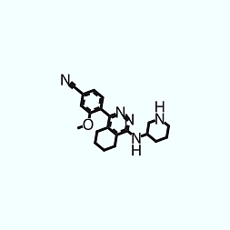 COc1cc(C#N)ccc1-c1nnc(NC2CCCNC2)c2c1CCCC2